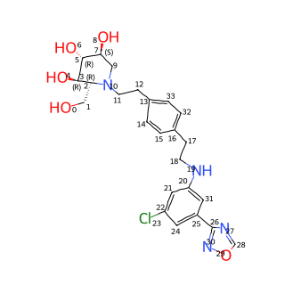 OC[C@@H]1[C@@H](O)[C@H](O)[C@@H](O)CN1CCc1ccc(CCNc2cc(Cl)cc(-c3ncon3)c2)cc1